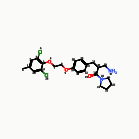 Cc1cc(Cl)c(OCCOc2ccc(CC(CN)C(=O)N3CCCC3)cc2)c(Cl)c1